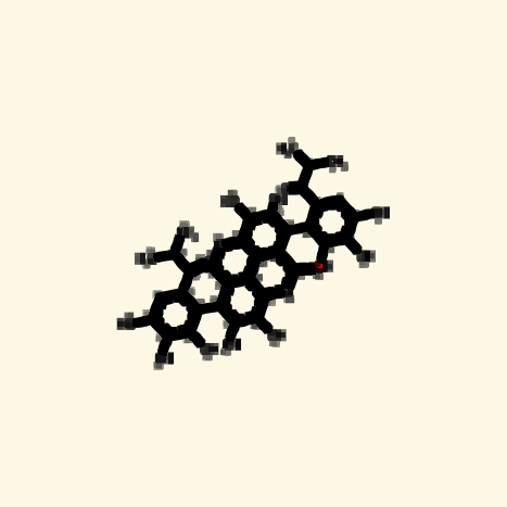 CC(C)C(=O)c1cc(O)c(O)c(O)c1-c1c(O)c(O)c2oc(=O)c3c(-c4c(C(=O)C(C)C)cc(O)c(O)c4O)c(O)c(O)c4oc(=O)c1c2c43